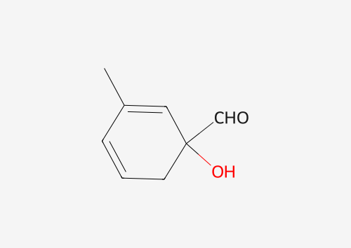 CC1=CC(O)(C=O)CC=C1